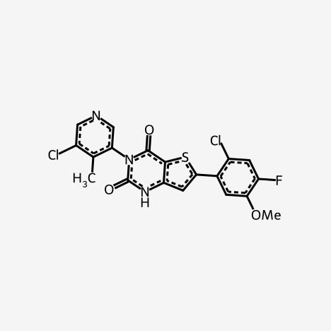 COc1cc(-c2cc3[nH]c(=O)n(-c4cncc(Cl)c4C)c(=O)c3s2)c(Cl)cc1F